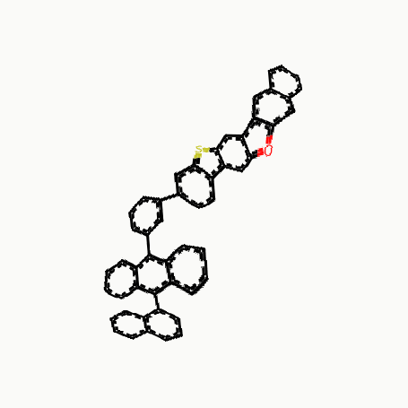 c1cc(-c2ccc3c(c2)sc2cc4c(cc23)oc2cc3ccccc3cc24)cc(-c2c3ccccc3c(-c3cccc4ccccc34)c3ccccc23)c1